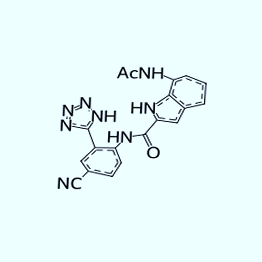 CC(=O)Nc1cccc2cc(C(=O)Nc3ccc(C#N)cc3-c3nnn[nH]3)[nH]c12